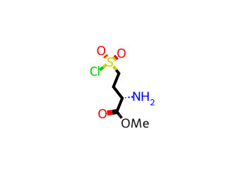 COC(=O)[C@@H](N)CCS(=O)(=O)Cl